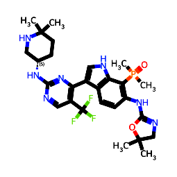 CC1(C)CC[C@H](Nc2ncc(C(F)(F)F)c(-c3c[nH]c4c(P(C)(C)=O)c(NC5=NCC(C)(C)O5)ccc34)n2)CN1